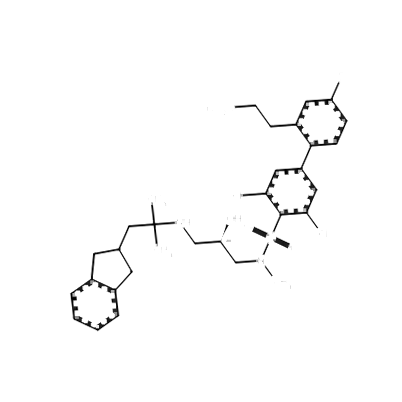 CN(C[C@H](O)CNC(C)(C)CC1Cc2ccccc2C1)S(=O)(=O)c1c(Cl)cc(-c2ccc(F)cc2CCC(=O)O)cc1Cl